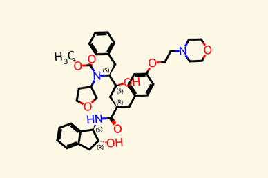 COC(=O)N(C1CCOC1)[C@@H](Cc1ccccc1)[C@@H](O)C[C@@H](Cc1ccc(OCCN2CCOCC2)cc1)C(=O)N[C@H]1c2ccccc2C[C@H]1O